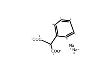 O=C([O-])C(C(=O)[O-])c1ccccc1.[Na+].[Na+]